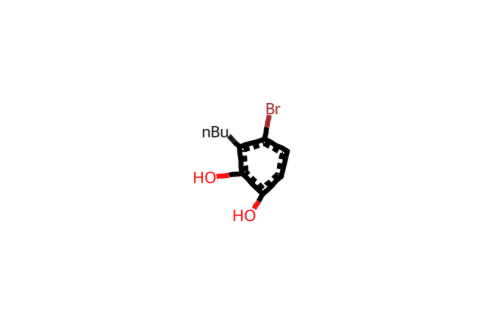 CCCCc1c(Br)ccc(O)c1O